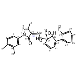 CC1=NN(c2ccc(C)c(C)c2)C(=O)/C1=N\NC1(C(=O)O)C=CC=C(c2ccccc2F)C1